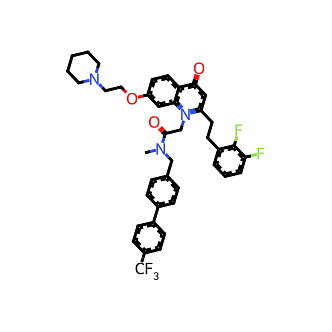 CN(Cc1ccc(-c2ccc(C(F)(F)F)cc2)cc1)C(=O)Cn1c(CCc2cccc(F)c2F)cc(=O)c2ccc(OCCN3CCCCC3)cc21